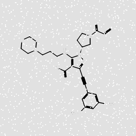 C=CC(=O)N1CC[C@H](n2nc(C#Cc3cc(OC)cc(OC)c3)c(C(N)=O)c2NCCCN2CCOCC2)C1